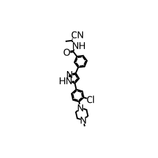 C[C@H](C#N)NC(=O)c1cccc(-c2cc(-c3ccc(N4CCN(C)CC4)c(Cl)c3)[nH]n2)c1